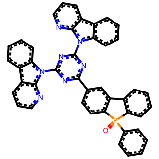 O=P1(c2ccccc2)c2ccccc2-c2cc(-c3nc(-n4c5ccccc5c5cccnc54)nc(-n4c5ccccc5c5cccnc54)n3)ccc21